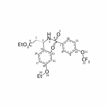 CCOC(=O)C[C@H](NS(=O)(=O)c1ccc(OC(F)(F)F)cc1)c1ccc(OCC)cc1